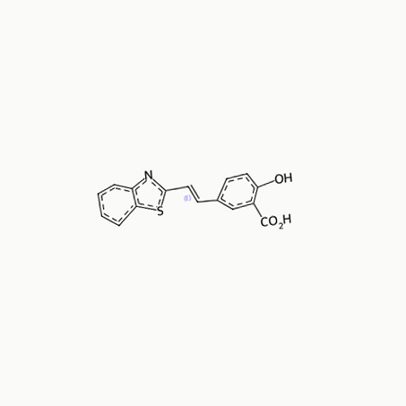 O=C(O)c1cc(/C=C/c2nc3ccccc3s2)ccc1O